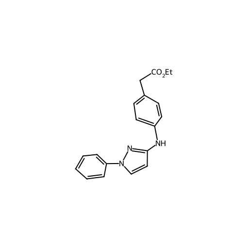 CCOC(=O)Cc1ccc(Nc2ccn(-c3ccccc3)n2)cc1